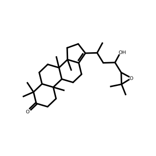 CC(CC(O)C1OC1(C)C)C1=C2CCC3C4(C)CCC(=O)C(C)(C)C4CCC3(C)C2(C)CC1